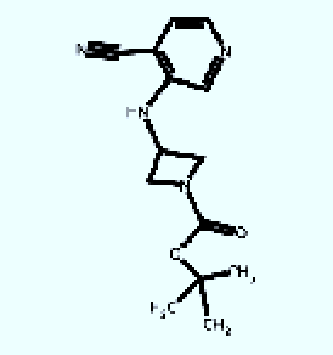 CC(C)(C)OC(=O)N1CC(Nc2cnccc2C#N)C1